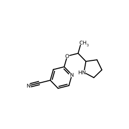 CC(Oc1cc(C#N)ccn1)C1CCCN1